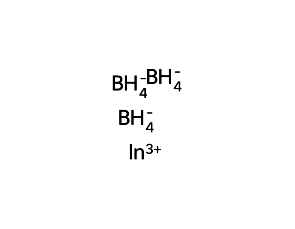 [BH4-].[BH4-].[BH4-].[In+3]